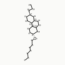 CCCCCCCO[C@@H]1CCC2C(CCC3C[C@H](CCC)CCC32)C1